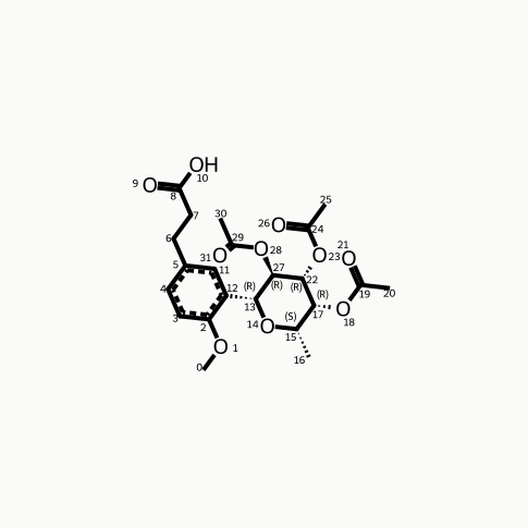 COc1ccc(CCC(=O)O)cc1[C@H]1O[C@@H](C)[C@@H](OC(C)=O)[C@@H](OC(C)=O)[C@@H]1OC(C)=O